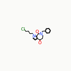 O=C1CCN(Cc2ccccc2)C(=O)c2c1ccn2CCCCCl